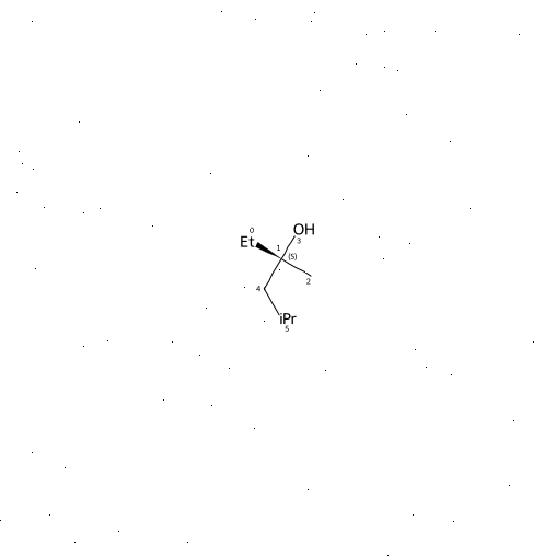 CC[C@](C)(O)CC(C)C